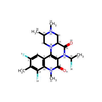 Cc1c(F)cc2c3c(c(=O)n(C)c2c1F)N(C(C)F)C(=O)C1CN(C)C(C)CN31